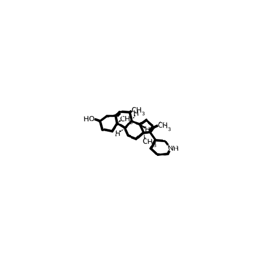 CC1=C(C2CCCNC2)[C@@]2(C)CC[C@@H]3[C@@H](C(C)C=C4CC(O)CC[C@@]43C)[C@@H]2C1